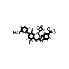 COC(=O)c1ccc2nc(Cc3cc(C)c(-c4cccc(O)n4)cc3F)n(C[C@@H]3CCO3)c2c1